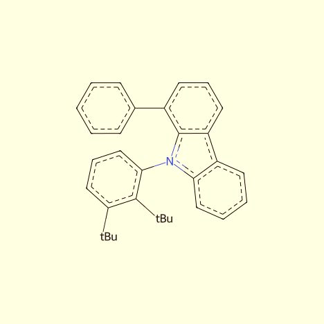 CC(C)(C)c1cccc(-n2c3ccccc3c3cccc(-c4ccccc4)c32)c1C(C)(C)C